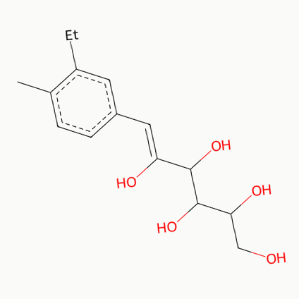 CCc1cc(C=C(O)C(O)C(O)C(O)CO)ccc1C